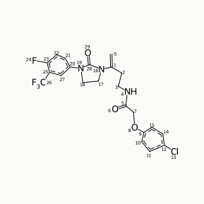 C=C(CCNC(=O)COc1ccc(Cl)cc1)N1CCN(c2ccc(F)c(C(F)(F)F)c2)C1=O